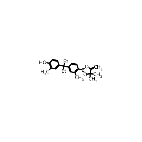 C=C1OB(c2ccc(C(CC)(CC)c3ccc(O)c(C)c3)cc2C)OC1(C)C